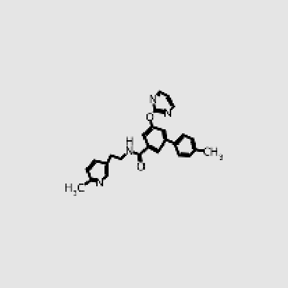 Cc1ccc(-c2cc(Oc3ncccn3)cc(C(=O)NCCc3ccc(C)nc3)c2)cc1